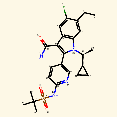 CCc1cc2c(cc1F)c(C(N)=O)c(-c1ccc(NS(=O)(=O)C(C)(C)C)nc1)n2[C@@H](C)C1CC1